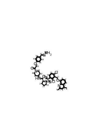 Cc1cc(C)c2cccc(OCc3c(Cl)ccc(S(=O)(=O)N4CCC[C@H]4C(=O)NC4CCN(C(=O)COc5ccc(C=NN)cc5)CC4)c3Cl)c2n1